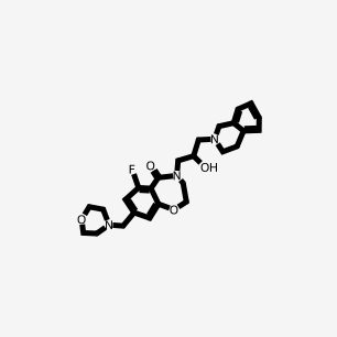 O=C1c2c(F)cc(CN3CCOCC3)cc2OCCN1CC(O)CN1CCc2ccccc2C1